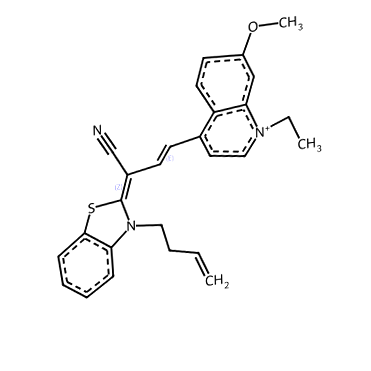 C=CCCN1/C(=C(C#N)\C=C\c2cc[n+](CC)c3cc(OC)ccc23)Sc2ccccc21